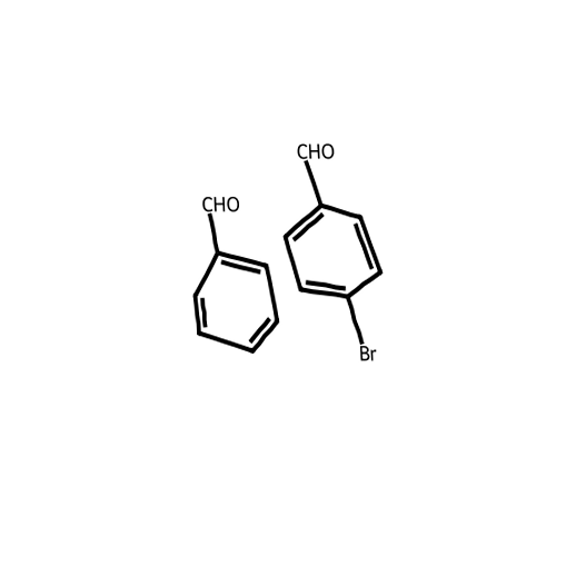 O=Cc1ccc(Br)cc1.O=Cc1ccccc1